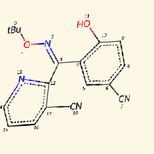 CC(C)(C)O/N=C(/c1cc(C#N)ccc1O)c1ncccc1C#N